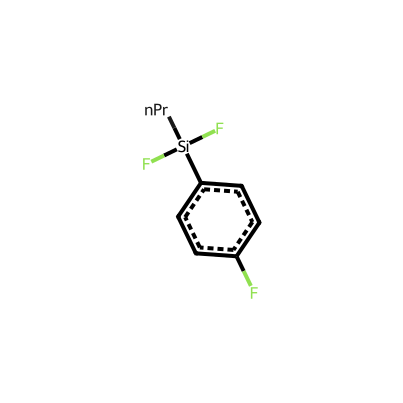 CCC[Si](F)(F)c1ccc(F)cc1